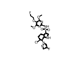 COc1nc(NS(=O)(=O)c2c[nH]c3c(-n4cc(F)cn4)c(Cl)ccc23)nc(OC)c1OCCF